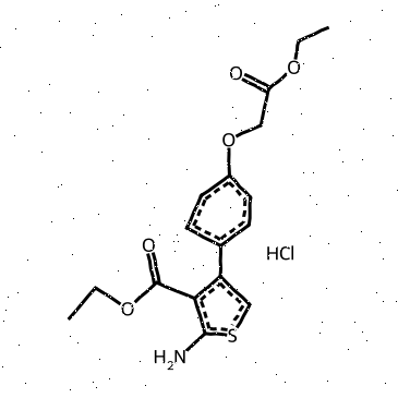 CCOC(=O)COc1ccc(-c2csc(N)c2C(=O)OCC)cc1.Cl